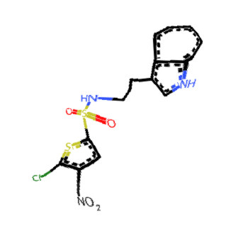 O=[N+]([O-])c1cc(S(=O)(=O)NCCc2c[nH]c3ccccc23)sc1Cl